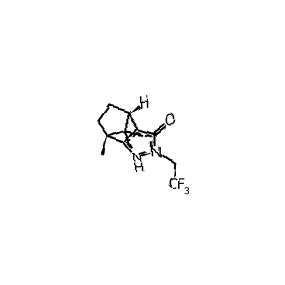 CC1(C)[C@@H]2CC[C@@]1(C)c1[nH]n(CC(F)(F)F)c(=O)c12